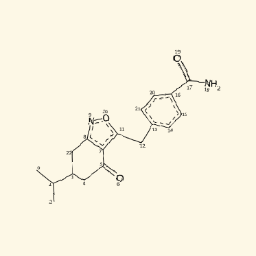 CC(C)C1CC(=O)c2c(noc2Cc2ccc(C(N)=O)cc2)C1